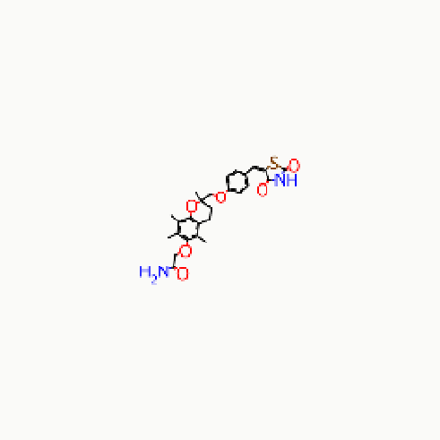 Cc1c(C)c2c(c(C)c1OCC(N)=O)CCC(C)(COc1ccc(C=C3SC(=O)NC3=O)cc1)O2